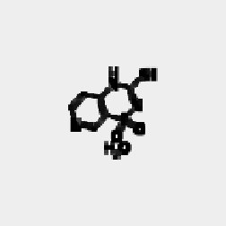 O.O=S1(=O)N=C(S)Nc2ccncc21